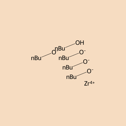 CCCCO.CCCC[O-].CCCC[O-].CCCC[O-].CCCC[O-].[Zr+4]